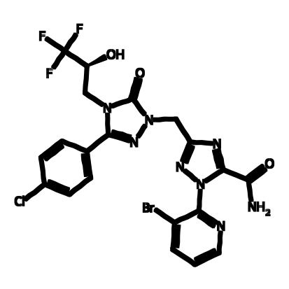 NC(=O)c1nc(Cn2nc(-c3ccc(Cl)cc3)n(C[C@H](O)C(F)(F)F)c2=O)nn1-c1ncccc1Br